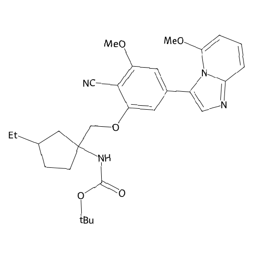 CCC1CCC(COc2cc(-c3cnc4cccc(OC)n34)cc(OC)c2C#N)(NC(=O)OC(C)(C)C)C1